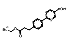 CCCCCCCCc1cnc(-c2ccc(CCC(=O)OC[C@H](C)CC)cc2)nc1